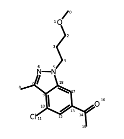 COCCCn1nc(C)c2c(Cl)cc(C(C)=O)cc21